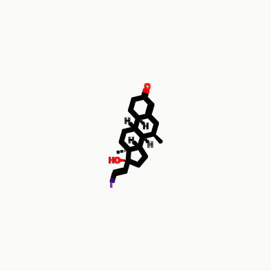 C[C@@H]1CC2=CC(=O)CC[C@@H]2[C@H]2CC[C@@]3(C)[C@@H](CC[C@@]3(O)/C=C/I)[C@@H]21